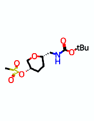 CC(C)(C)OC(=O)NC[C@@H]1CC[C@H](OS(C)(=O)=O)CO1